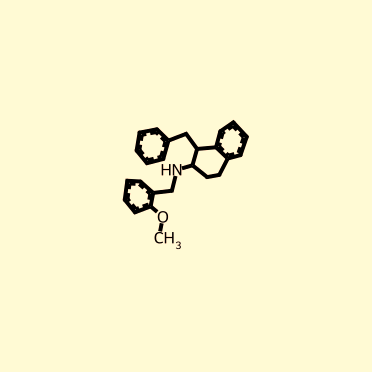 COc1ccccc1CNC1CCc2ccccc2C1Cc1ccccc1